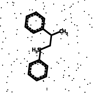 CC(C[SiH2]c1ccccc1)c1ccccc1